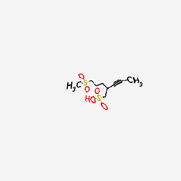 CC#CC(CCCS(C)(=O)=O)CS(=O)(=O)O